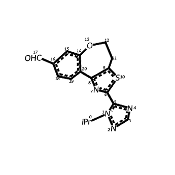 CC(C)n1ncnc1-c1nc2c(s1)CCOc1cc(C=O)ccc1-2